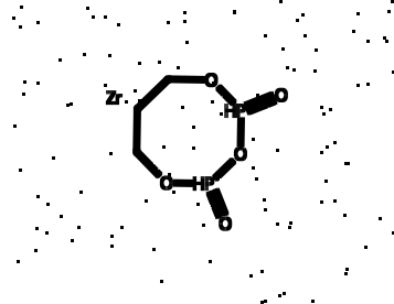 O=[PH]1OCCCO[PH](=O)O1.[Zr]